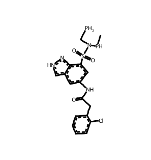 CPN(CP)S(=O)(=O)c1cc(NC(=O)Cc2ccccc2Cl)cc2c[nH]nc12